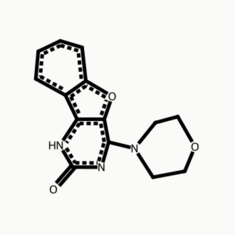 O=c1nc(N2CCOCC2)c2oc3ccccc3c2[nH]1